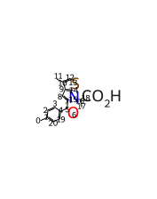 Cc1ccc(C(=O)c2cc3c(C)csc3n2C(C)C(=O)O)cc1